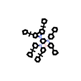 CC(C)(c1ccccc1)c1cccc(N2c3cc(C(C)(C)c4ccccc4)ccc3B3c4cc(-c5ccccc5)ccc4N(c4ccc(-c5ccccc5)cc4)c4cc(-n5c6ccc(C(C)(C)c7ccccc7)cc6c6cc(C(C)(C)c7ccccc7)ccc65)cc2c43)c1